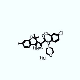 CC1(C)Oc2cc(I)ccc2-c2[nH]nc(C(=O)N(c3ccc(Cl)cc3Cl)N3CCOCC3)c21.Cl